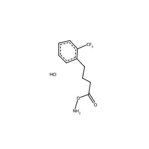 Cl.NOC(=O)CCCc1ccccc1C(F)(F)F